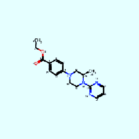 CCOC(=O)c1ccc(N2CCN(c3ncccn3)[C@H](C)C2)cc1